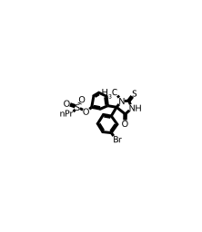 CCCS(=O)(=O)Oc1cccc(C2(c3cccc(Br)c3)C(=O)NC(=S)N2C)c1